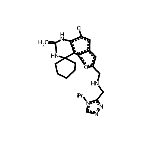 C=C1Nc2c(Cl)cc3cc(CNCc4nncn4C(C)C)oc3c2C2(CCCCC2)N1